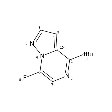 CC(C)(C)c1ncc(F)n2nccc12